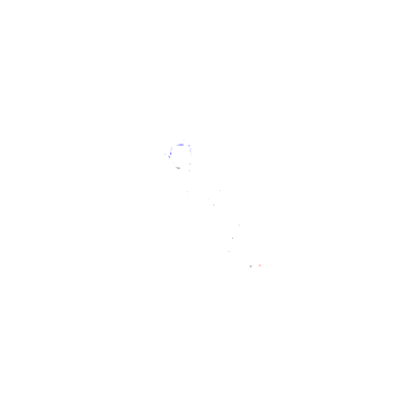 CC(=O)C1CC2(CCC(N3CCC(c4cnc(C)nc4)CC3)CC2)C1